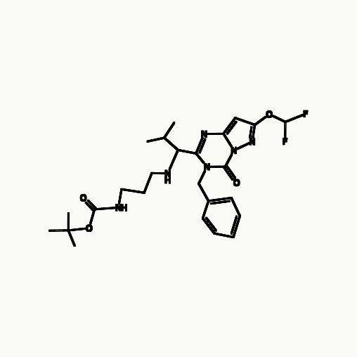 CC(C)C(NCCCNC(=O)OC(C)(C)C)c1nc2cc(OC(F)F)nn2c(=O)n1Cc1ccccc1